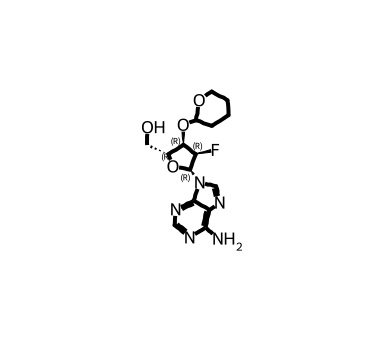 Nc1ncnc2c1ncn2[C@@H]1O[C@H](CO)[C@@H](OC2CCCCO2)[C@H]1F